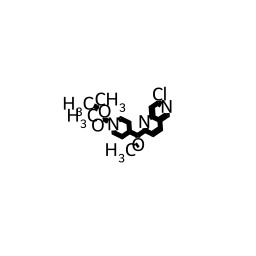 COC(c1ccc2cnc(Cl)cc2n1)C1CCN(C(=O)OC(C)(C)C)CC1